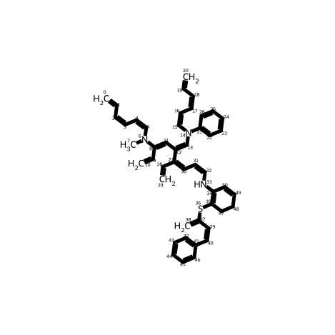 C=C/C=C\C=C/N(C)/C(C=C)=C/C(=C\N(/C=C\C=C/C=C)c1ccccc1)C(/C=C)=C\C=C/NC1=C(SC(=C)/C=C\c2ccccc2)CCC=C1